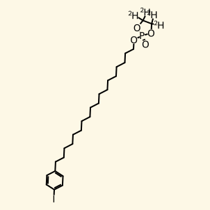 [2H]C1([2H])OP(=O)(OCCCCCCCCCCCCCCCCCCc2ccc(I)cc2)OC1([2H])[2H]